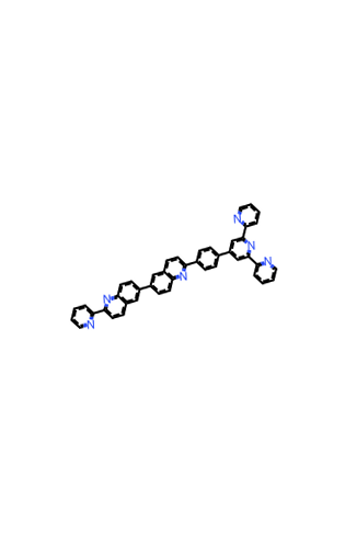 c1ccc(-c2cc(-c3ccc(-c4ccc5cc(-c6ccc7nc(-c8ccccn8)ccc7c6)ccc5n4)cc3)cc(-c3ccccn3)n2)nc1